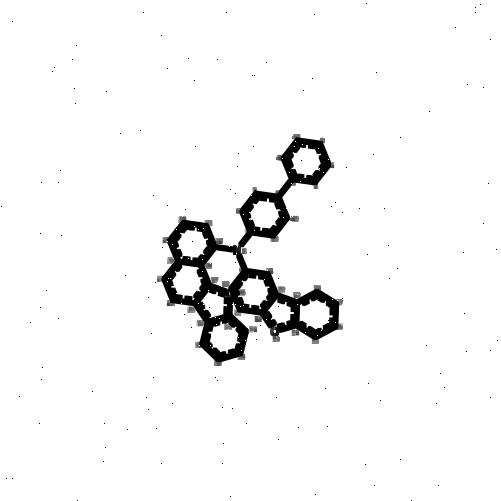 c1ccc(-c2ccc(N(c3ccc4oc5ccccc5c4c3)c3cccc4ccc5c6ccccc6oc5c34)cc2)cc1